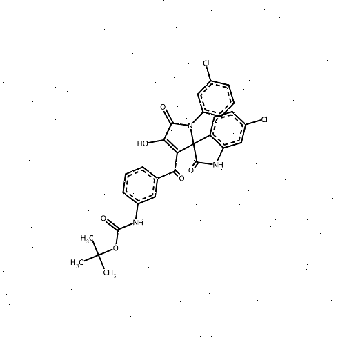 CC(C)(C)OC(=O)Nc1cccc(C(=O)C2=C(O)C(=O)N(c3cccc(Cl)c3)C23C(=O)Nc2cc(Cl)ccc23)c1